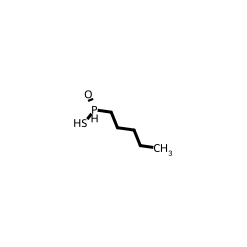 CCCCC[PH](=O)S